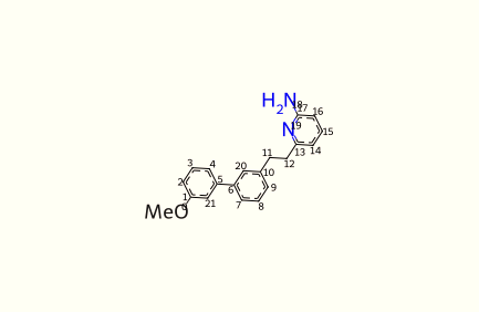 COc1cccc(-c2cccc(CCc3cccc(N)n3)c2)c1